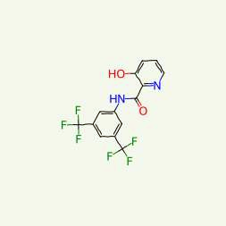 O=C(Nc1cc(C(F)(F)F)cc(C(F)(F)F)c1)c1ncccc1O